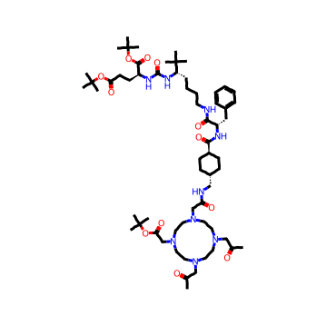 CC(=O)CN1CCN(CC(C)=O)CCN(CC(=O)OC(C)(C)C)CCN(CC(=O)NC[C@H]2CC[C@H](C(=O)N[C@@H](Cc3ccccc3)C(=O)NCCCC[C@H](NC(=O)N[C@@H](CCC(=O)OC(C)(C)C)C(=O)OC(C)(C)C)C(C)(C)C)CC2)CC1